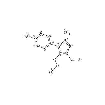 COCc1c(C=O)nn(C)c1-c1ccc(C)nc1